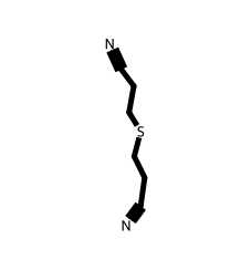 N#CCCSCCC#N